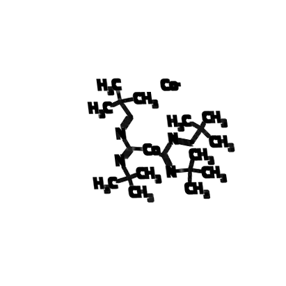 CC(C)(C)C=N[C](=NC(C)(C)C)[Co][C](N=CC(C)(C)C)=NC(C)(C)C.[Co]